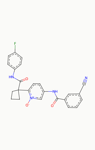 N#Cc1cccc(C(=O)Nc2ccc(C3(C(=O)Nc4ccc(F)cc4)CCC3)[n+]([O-])c2)c1